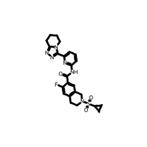 O=C(Nc1cccc(-c2nnc3n2CCCC3)n1)c1cc2c(cc1F)CCN(S(=O)(=O)C1CC1)C2